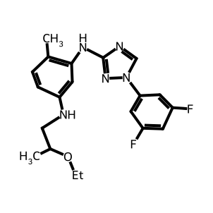 CCOC(C)CNc1ccc(C)c(Nc2ncn(-c3cc(F)cc(F)c3)n2)c1